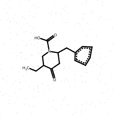 CCC1CN(C(=O)O)C(Cc2ccccc2)CC1=O